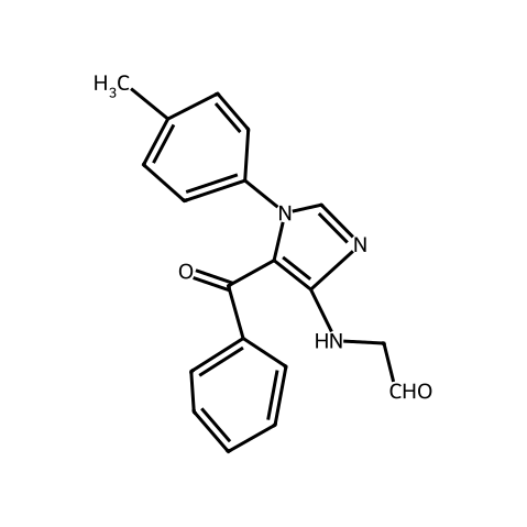 Cc1ccc(-n2cnc(NCC=O)c2C(=O)c2ccccc2)cc1